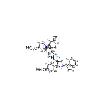 COC[C@H]1CN(C(=O)[C@]2(F)CN(C3CCc4ccccc43)C[C@H]2c2ccc(OC)cc2)C[C@@H]1c1ccc(C(F)(F)F)cc1N1CCC(C(=O)O)CC1